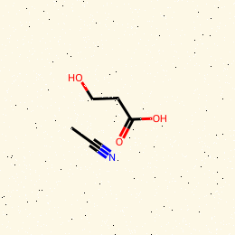 CC#N.O=C(O)CCO